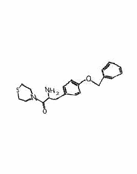 NC(Cc1ccc(OCc2ccccc2)cc1)C(=O)N1CCSCC1